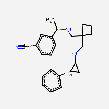 CC(NCC1(CNC2C[C@@H]2c2ccccc2)CCC1)c1cccc(C#N)c1